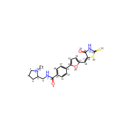 CCN1CCCC1CNC(=O)c1ccc(-c2ccc(/C=C3/SC(=S)NC3=O)o2)cc1